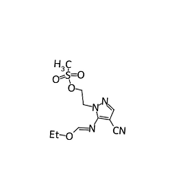 CCO/C=N/c1c(C#N)cnn1CCOS(C)(=O)=O